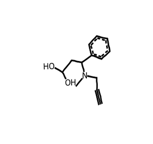 C#CCN(C)C(CC(O)O)c1ccccc1